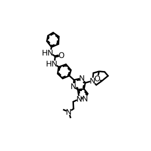 CN(C)CCn1ncc2c(N3CC4CCC(C3)O4)nc(-c3ccc(NC(=O)Nc4ccccc4)cc3)nc21